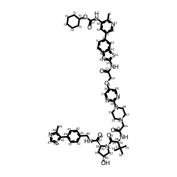 Cc1ncc(-c2ccc3nc(NC(=O)COc4cnc(N5CCN(CC(=O)N[C@H](C(=O)N6C[C@H](O)C[C@H]6C(=O)NCc6ccc(-c7scnc7C)cc6)C(C)(C)C)CC5)nc4)sc3c2)cc1NC(=O)OC1CCCCC1